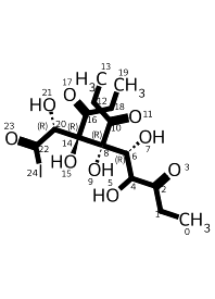 CCC(=O)C(O)[C@@H](O)[C@](O)(C(=O)CC)[C@@](O)(C(=O)CC)[C@@H](O)C(=O)I